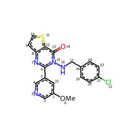 COc1cncc(-c2nc3ccsc3c(=O)n2NCc2ccc(Cl)cc2)c1